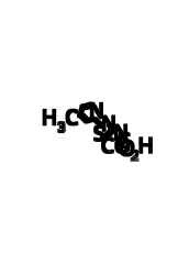 Cc1ccnc(-c2nc(N=C=O)c(C(=O)O)s2)c1